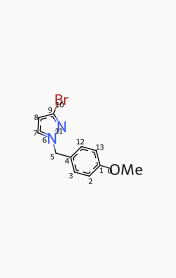 COc1ccc(Cn2ccc(Br)n2)cc1